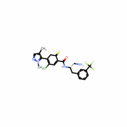 Cc1cnn(C)c1C1=C(Cl)C=C(C(=O)N[C@H](CN)Cc2cccc(C(F)(F)F)c2)C(=S)C1